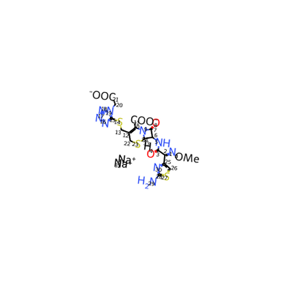 CON=C(C(=O)NC1C(=O)N2C(C(=O)[O-])=C(CSc3nnnn3CC(=O)[O-])CS[C@@H]12)c1csc(N)n1.[Na+].[Na+]